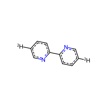 [2H]c1ccc(-c2ccc([2H])cn2)nc1